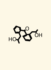 CC(O)Cc1ccccc1C(=O)c1ccccc1CC(C)O